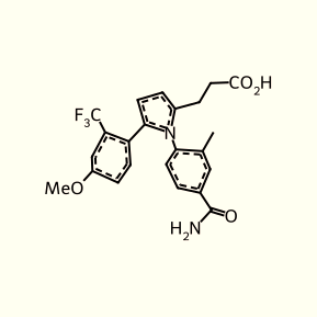 COc1ccc(-c2ccc(CCC(=O)O)n2-c2ccc(C(N)=O)cc2C)c(C(F)(F)F)c1